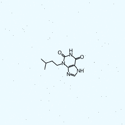 CC(C)CCn1c(=O)[nH]c(=O)c2[nH]cnc21